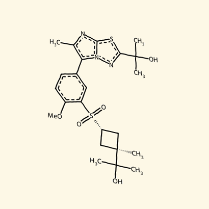 COc1ccc(-c2c(C)nc3sc(C(C)(C)O)nn23)cc1S(=O)(=O)[C@H]1C[C@](C)(C(C)(C)O)C1